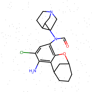 Nc1c(Cl)cc(N(C=O)C2CN3CCC2CC3)c2c1C1CCCC(C1)O2